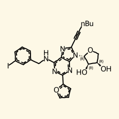 CCCCC#Cc1nc2c(NCc3cccc(I)c3)nc(-c3ccco3)nc2n1[C@@H]1OC[C@@H](O)[C@H]1O